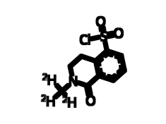 [2H]C([2H])([2H])N1CCc2c(cccc2S(=O)(=O)Cl)C1=O